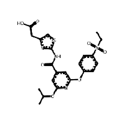 CCS(=O)(=O)c1ccc(Oc2cc(C(=O)Nc3nc(CC(=O)O)cs3)cc(OC(C)C)n2)cc1